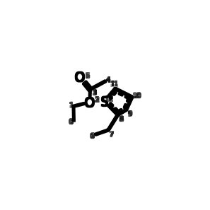 CCOC(C)=O.CCc1cccs1